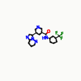 O=C(Nc1cccc(C(F)(F)F)c1)c1cncc(-c2cnc3cccnn23)c1